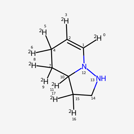 [2H]C1=C([2H])C([2H])([2H])C([2H])([2H])C2([2H])N1NCC2([2H])[2H]